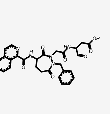 O=CC(CC(=O)O)NC(=O)CN1C(=O)C(NC(=O)c2nccc3ccccc23)CCC(=O)N1Cc1ccccc1